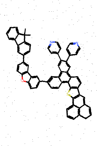 CC1(C)c2ccccc2-c2cc(-c3ccc4oc5ccc(-c6ccc7c(c6)c6cc(-c8ccncc8)c(-c8ccncc8)cc6c6ccc8c9cc%10c%11c(cccc%11c9sc8c76)CC=C%10)cc5c4c3)ccc21